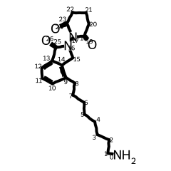 NCCCCCCCCc1cccc2c1CN(N1C(=O)CCCC1=O)C2=O